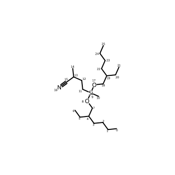 CCCCC(CC)CO[Si](C)(CCC(C)C#N)OCC(CC)CCCC